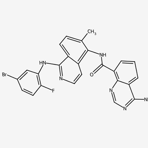 Cc1ccc2c(Nc3cc(Br)ccc3F)nccc2c1NC(=O)c1cccc2c(N)ncnc12